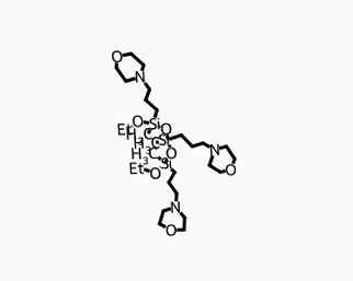 CCO[Si](C)(CCCN1CCOCC1)O[Si](C)(CCCN1CCOCC1)O[Si](C)(CCCN1CCOCC1)OCC